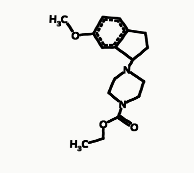 CCOC(=O)N1CCN(C2CCc3ccc(OC)cc32)CC1